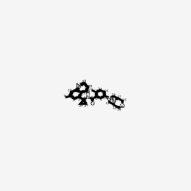 Cc1cc(C2(NC(=O)c3cc(N4CC5COCC(C4)N5C)ccc3C)CC2)c2cccnc2c1